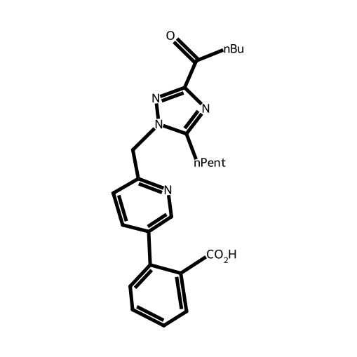 CCCCCc1nc(C(=O)CCCC)nn1Cc1ccc(-c2ccccc2C(=O)O)cn1